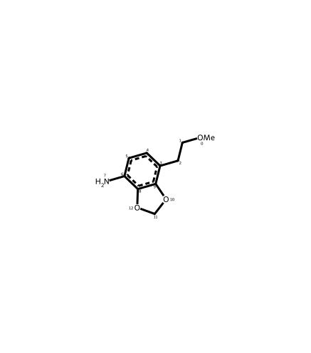 COCCc1ccc(N)c2c1OCO2